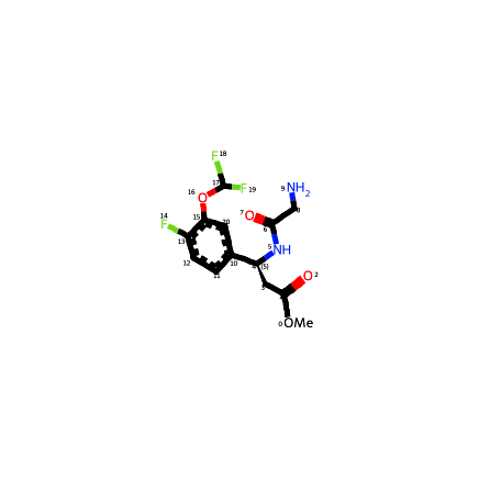 COC(=O)C[C@H](NC(=O)CN)c1ccc(F)c(OC(F)F)c1